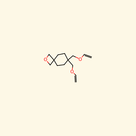 C=COCC1(COC=C)CCC2(CC1)COC2